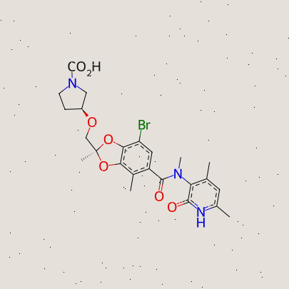 Cc1cc(C)c(N(C)C(=O)c2cc(Br)c3c(c2C)O[C@@](C)(CO[C@H]2CCN(C(=O)O)C2)O3)c(=O)[nH]1